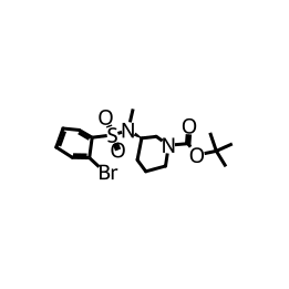 CN([C@@H]1CCCN(C(=O)OC(C)(C)C)C1)S(=O)(=O)c1ccccc1Br